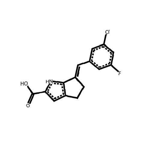 O=C(O)c1cc2c([nH]1)C(=Cc1cc(F)cc(Cl)c1)CC2